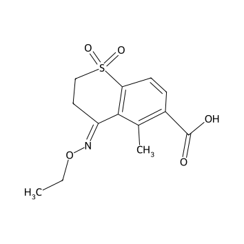 CCON=C1CCS(=O)(=O)c2ccc(C(=O)O)c(C)c21